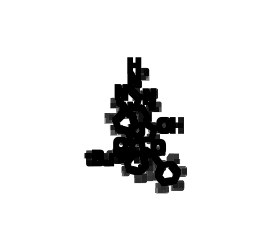 C=CC1(C(O[SiH2]C(C)(C)C)(c2ccccc2)c2ccccc2)OC(n2cnc3c(N)ncnc32)C(O)C1OCc1ccccc1